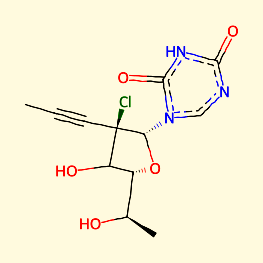 CC#C[C@@]1(Cl)C(O)[C@@H]([C@@H](C)O)O[C@H]1n1cnc(=O)[nH]c1=O